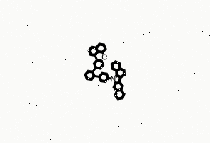 c1ccc(-c2ccc3c(c2)-c2cccc4cccc(c24)O3)c(-c2ccc(-n3c4cc5ccccc5cc4c4ccc5ccccc5c43)cc2)c1